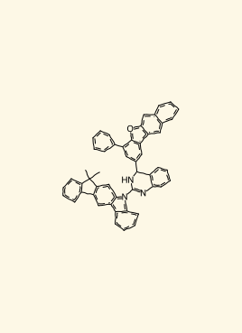 CC1(C)c2ccccc2-c2cc3c4ccccc4n(C4=Nc5ccccc5C(c5cc(-c6ccccc6)c6oc7cc8ccccc8cc7c6c5)N4)c3cc21